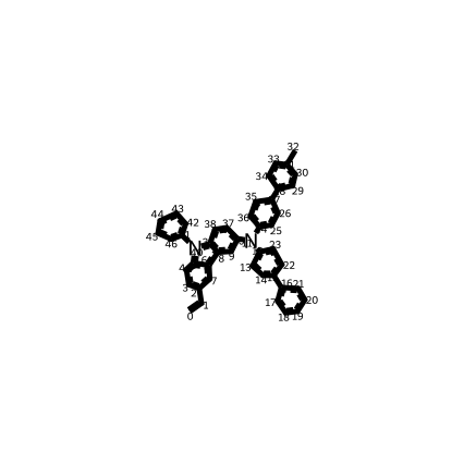 C=Cc1ccc2c(c1)c1cc(N(c3ccc(-c4ccccc4)cc3)c3ccc(-c4ccc(C)cc4)cc3)ccc1n2-c1ccccc1